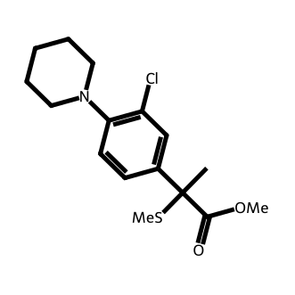 COC(=O)C(C)(SC)c1ccc(N2CCCCC2)c(Cl)c1